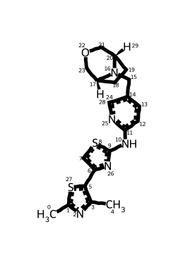 Cc1nc(C)c(-c2csc(Nc3ccc(CN4[C@@H]5CC[C@H]4COC5)cn3)n2)s1